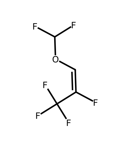 F/C(=C/OC(F)F)C(F)(F)F